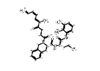 C=C/C=C\C=C(/C)C(=O)CCC(=O)N1Cc2ccccc2C[C@H]1C(=O)N[C@@H](CCN)C(=O)Nc1cccc(C)c1C#N